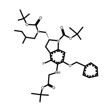 CCC(C)CN(C[C@H]1Cc2c(cc(OCc3ccccc3)c(NCC(=O)OC(C)(C)C)c2F)N1C(=O)OC(C)(C)C)C(=O)OC(C)(C)C